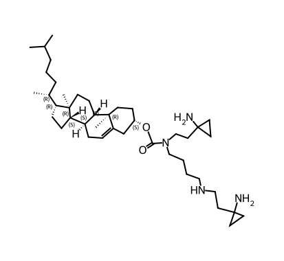 CC(C)CCC[C@@H](C)[C@H]1CC[C@H]2[C@@H]3CC=C4C[C@@H](OC(=O)N(CCCCNCCC5(N)CC5)CCC5(N)CC5)CC[C@]4(C)[C@H]3CC[C@]12C